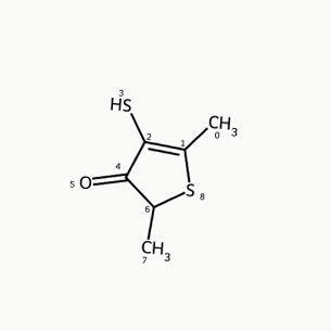 CC1=C(S)C(=O)C(C)S1